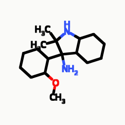 COC1CCCCC1C1(N)C2CCCCC2NC1(C)C